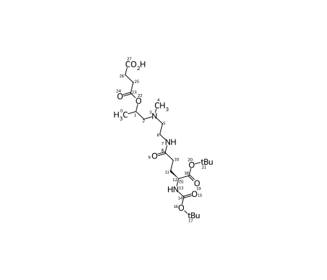 CC(CN(C)CCNC(=O)CC[C@H](NC(=O)OC(C)(C)C)C(=O)OC(C)(C)C)OC(=O)CCC(=O)O